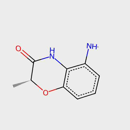 C[C@H]1Oc2cccc([NH])c2NC1=O